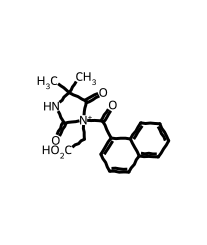 CC1(C)NC(=O)[N+](CC(=O)O)(C(=O)c2cccc3ccccc23)C1=O